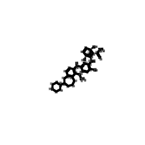 COc1c(Nc2ncc(Cl)c(N[C@H]3[C@@H](C(N)=O)[C@@H]4C=C[C@H]3C4)n2)ccc2c1CCCC(N1CCOCC1)C2